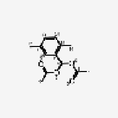 CC(=O)OI(OC(C)=O)c1cc(C)ccc1C